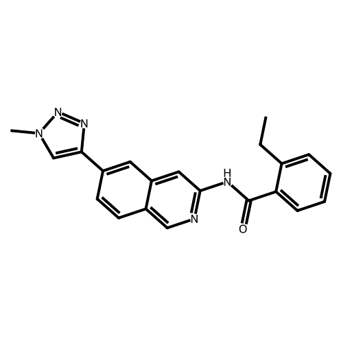 CCc1ccccc1C(=O)Nc1cc2cc(-c3cn(C)nn3)ccc2cn1